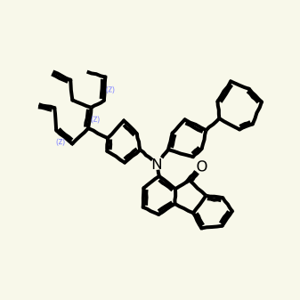 C=C\C=C/C(=C(/C=C\C)CC=C)c1ccc(N(c2ccc(C3C=CC=CC=C3)cc2)c2cccc3c2C(=O)c2ccccc2-3)cc1